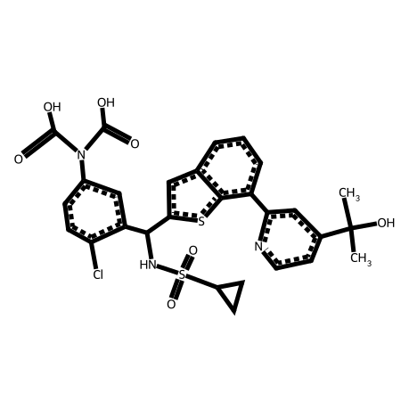 CC(C)(O)c1ccnc(-c2cccc3cc(C(NS(=O)(=O)C4CC4)c4cc(N(C(=O)O)C(=O)O)ccc4Cl)sc23)c1